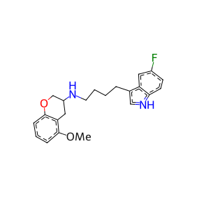 COc1cccc2c1CC(NCCCCc1c[nH]c3ccc(F)cc13)CO2